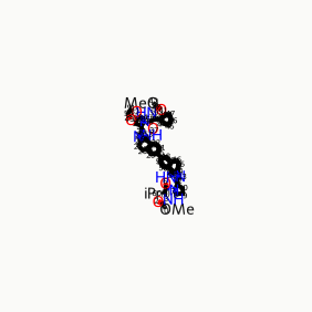 COC(=O)N[C@H](C(=O)N1CCCC1c1nc2ccc3cc(-c4ccc5c(c4)CCc4nc(C6CC7(CN6C(=O)[C@H](NC(=O)OC)c6ccccc6)OCCO7)[nH]c4-5)ccc3c2[nH]1)C(C)C